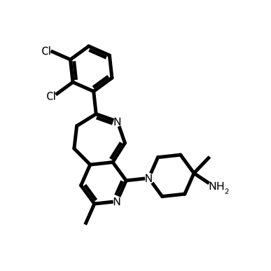 CC1=CC2CCC(c3cccc(Cl)c3Cl)=NC=C2C(N2CCC(C)(N)CC2)=N1